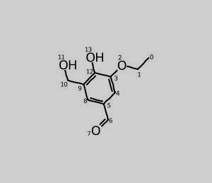 CCOc1cc(C=O)cc(CO)c1O